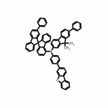 CC1(C)c2cc(-c3ccccc3)ccc2-c2ccc(N(c3ccc(-c4ccc5c(c4)oc4ccccc45)cc3)c3cccc4c3-c3ccccc3C43c4ccccc4-c4ccc(-c5ccccc5)cc43)cc21